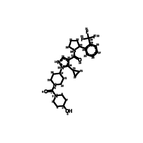 O=C(N1CCC(O)CC1)N1CCC(n2ncc(C(=O)N3CCCC3c3ccccc3C(F)(F)F)c2C2CC2)CC1